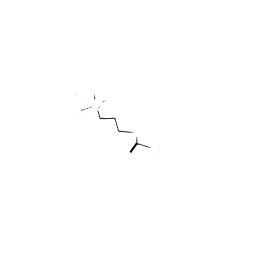 CC(=S)OCCC[Si](C)(Cl)Cl